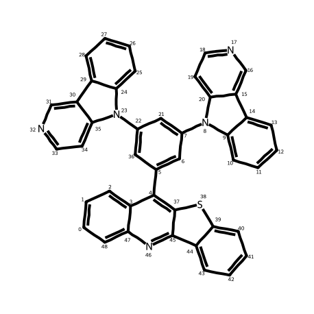 c1ccc2c(-c3cc(-n4c5ccccc5c5cnccc54)cc(-n4c5ccccc5c5cnccc54)c3)c3sc4ccccc4c3nc2c1